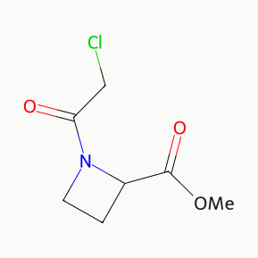 COC(=O)C1CCN1C(=O)CCl